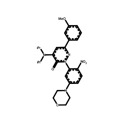 COc1cccc(-c2cc(N(C(C)C)C(C)C)c(=O)n(-c3cc(N4CCOCC4)ccc3[N+](=O)[O-])n2)c1